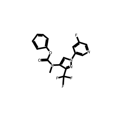 CN(C(=O)Oc1ccccc1)c1cn(-c2cncc(F)c2)nc1C(F)(F)F